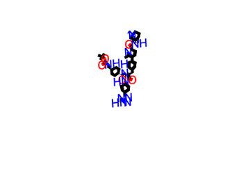 Cc1nc(C(=O)N[C@H]2CCCN(C)C2)ccc1-c1ccc(C[C@H](NC(=O)[C@H]2CC[C@H](CNC(=O)OC(C)(C)C)CC2)C(=O)Nc2ccc(-c3nn[nH]n3)cc2)cc1